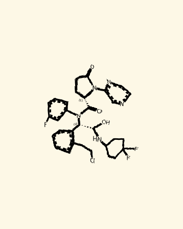 O=C1CC[C@@H](C(=O)N(c2cccc(F)c2)[C@@H](c2ccccc2CCl)C(O)NC2CCC(F)(F)CC2)N1c1cnccn1